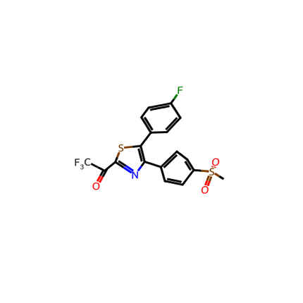 CS(=O)(=O)c1ccc(-c2nc(C(=O)C(F)(F)F)sc2-c2ccc(F)cc2)cc1